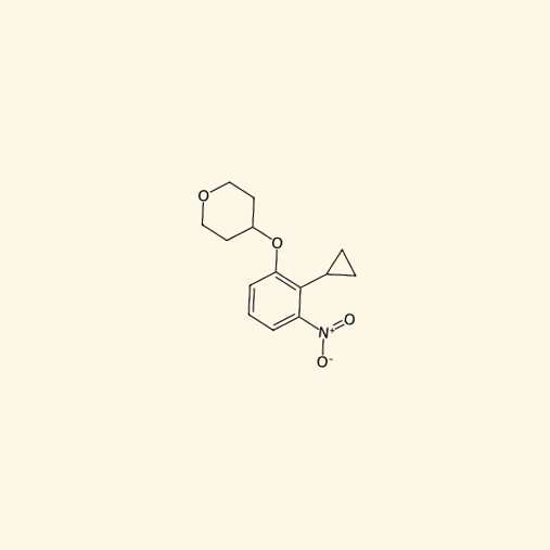 O=[N+]([O-])c1cccc(OC2CCOCC2)c1C1CC1